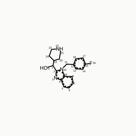 OC(c1nc2ccccc2n1Cc1ccc(F)cc1)C1CCNCC1